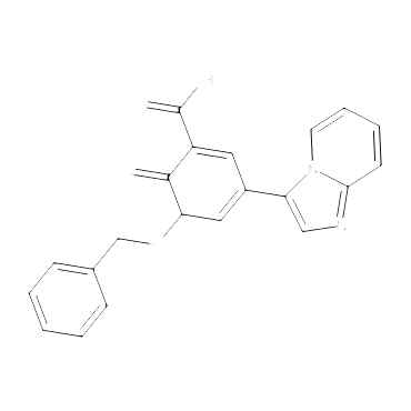 O=C(O)C1=CC(c2cnc3ccccn23)=CC(OCc2ccccc2)C1=S